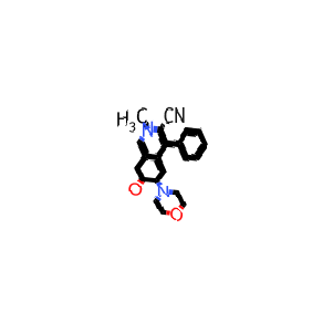 CN1C=C2CC(=O)C(N3CCOCC3)C=C2C(c2ccccc2)=C1C#N